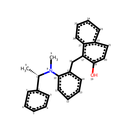 C[C@@H](c1ccccc1)N(C)c1ccccc1Cc1c(O)ccc2ccccc12